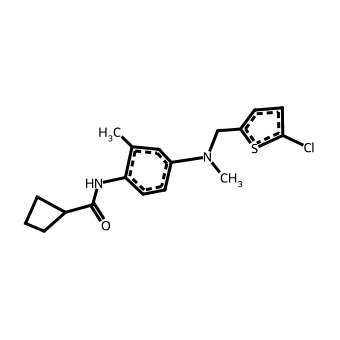 Cc1cc(N(C)Cc2ccc(Cl)s2)ccc1NC(=O)C1CCC1